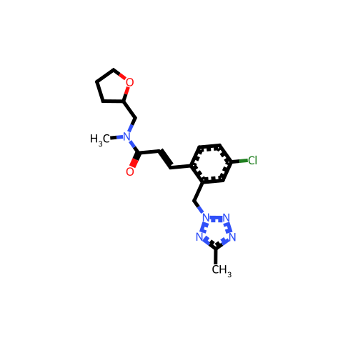 Cc1nnn(Cc2cc(Cl)ccc2/C=C/C(=O)N(C)CC2CCCO2)n1